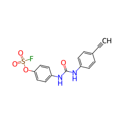 C#Cc1ccc(NC(=O)Nc2ccc(OS(=O)(=O)F)cc2)cc1